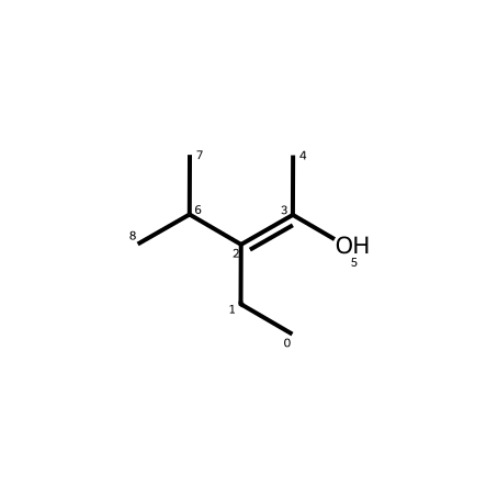 CCC(=C(C)O)C(C)C